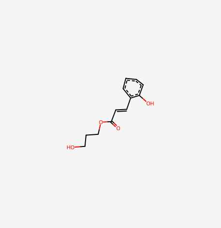 O=C(C=Cc1ccccc1O)OCCCO